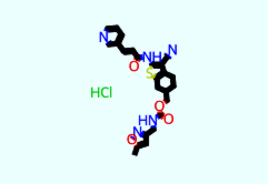 Cc1cc(CNC(=O)OCC2CCc3c(sc(NC(=O)C=Cc4cccnc4)c3C#N)C2)no1.Cl